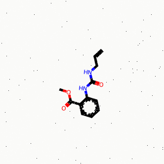 C=CCNC(=O)Nc1ccccc1C(=O)OC